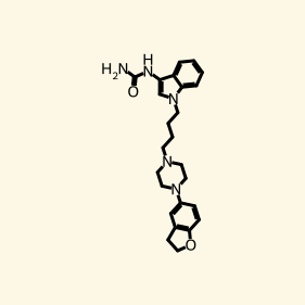 NC(=O)Nc1cn(CCCCN2CCN(c3ccc4c(c3)CCO4)CC2)c2ccccc12